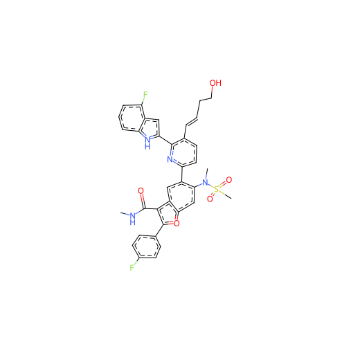 CNC(=O)c1c(-c2ccc(F)cc2)oc2cc(N(C)S(C)(=O)=O)c(-c3ccc(C=CCCO)c(-c4cc5c(F)cccc5[nH]4)n3)cc12